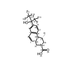 C/C=C\c1cc(C(O)(C(F)(F)F)C(F)(F)F)ccc1N1CCN(C(=O)O)C[C@H]1C